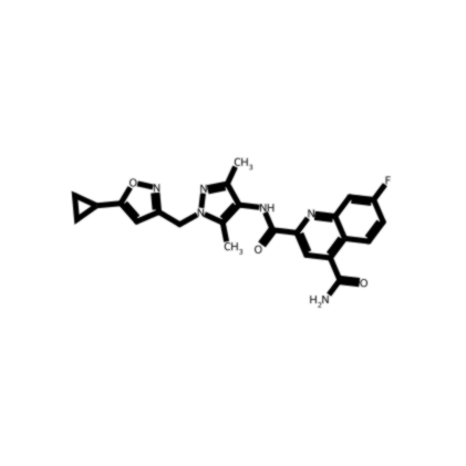 Cc1nn(Cc2cc(C3CC3)on2)c(C)c1NC(=O)c1cc(C(N)=O)c2ccc(F)cc2n1